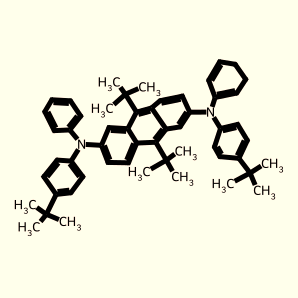 CC(C)(C)c1ccc(N(C2=CCCC=C2)c2ccc3c(C(C)(C)C)c4cc(N(c5ccccc5)c5ccc(C(C)(C)C)cc5)ccc4c(C(C)(C)C)c3c2)cc1